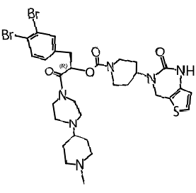 CN1CCC(N2CCN(C(=O)[C@@H](Cc3ccc(Br)c(Br)c3)OC(=O)N3CCC(N4Cc5sccc5NC4=O)CC3)CC2)CC1